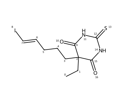 CCC1(CCC/C=C/I)C(=O)NC(=S)NC1=O